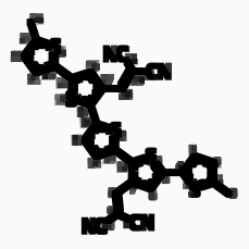 Cc1ccc(-c2cc(C=C(C#N)C#N)c(-c3ccc(-c4sc(-c5ccc(C)s5)cc4C=C(C#N)C#N)s3)s2)s1